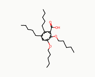 CCCCCOc1cc(CCCCC)c(CCCCC)c(C(=O)O)c1OCCCCC